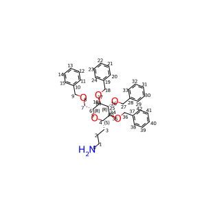 NCCC[C@@H]1O[C@H](COCc2ccccc2)[C@@H](OCc2ccccc2)[C@H](OCc2ccccc2)[C@H]1OCc1ccccc1